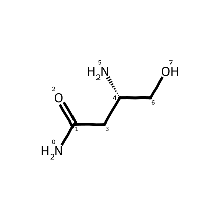 NC(=O)C[C@H](N)CO